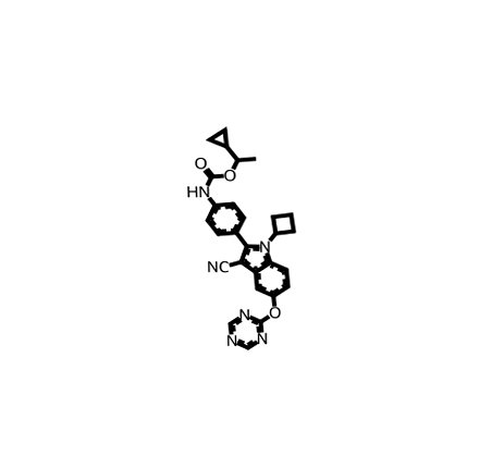 CC(OC(=O)Nc1ccc(-c2c(C#N)c3cc(Oc4ncncn4)ccc3n2C2CCC2)cc1)C1CC1